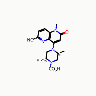 CC[C@@H]1CN(c2cc(=O)n(C)c3ccc(C#N)nc23)[C@@H](C)CN1C(=O)O